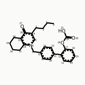 CCCCc1cn(Cc2ccc(-c3ccccc3OC(=O)O)cc2)c2c(c1=O)CCCC2